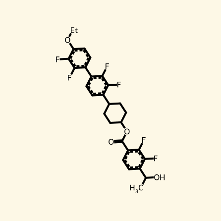 CCOc1ccc(-c2ccc(C3CCC(OC(=O)c4ccc(C(C)O)c(F)c4F)CC3)c(F)c2F)c(F)c1F